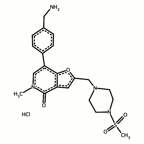 Cl.Cn1cc(-c2ccc(CN)cc2)c2oc(CN3CCN(S(C)(=O)=O)CC3)cc2c1=O